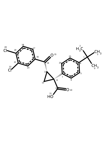 CC(C)(C)c1ccc([C@]2(C(=O)O)C[C@@H]2C(=O)c2ccc(Cl)c(Cl)c2)cc1